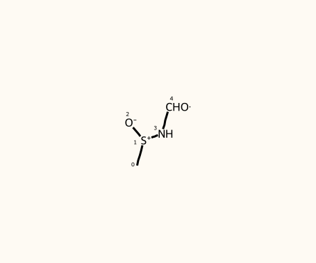 C[S+]([O-])N[C]=O